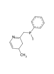 CC1C=CN=C(CP(I)c2ccccc2)C1